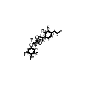 CCCc1ccc(C23COC(C(F)(F)Oc4cc(F)c(F)c(F)c4)(OC2)OC3)c(F)c1F